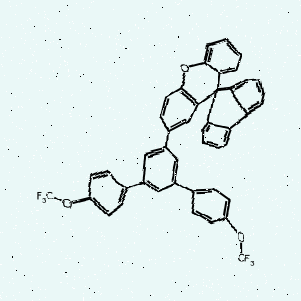 FC(F)(F)Oc1ccc(-c2cc(-c3ccc(OC(F)(F)F)cc3)cc(-c3ccc4c(c3)C3(c5ccccc5O4)c4ccccc4-c4ccccc43)c2)cc1